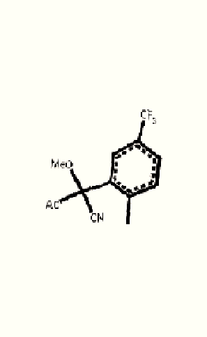 COC(C#N)(C(C)=O)c1cc(C(F)(F)F)ccc1C